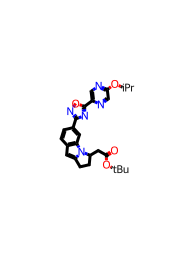 CC(C)Oc1cnc(-c2nc(-c3ccc4cc5n(c4c3)C(CC(=O)OC(C)(C)C)CC5)no2)cn1